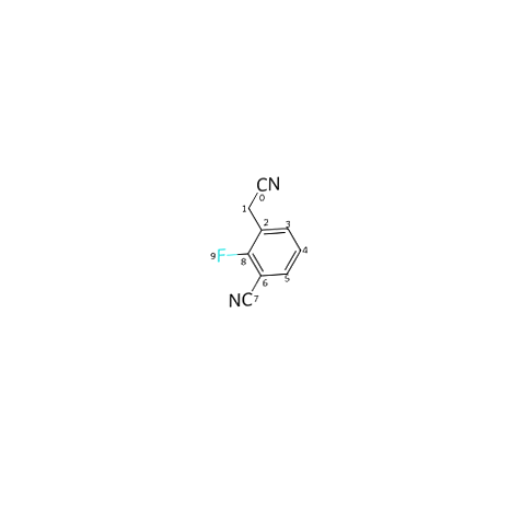 N#CCc1cccc(C#N)c1F